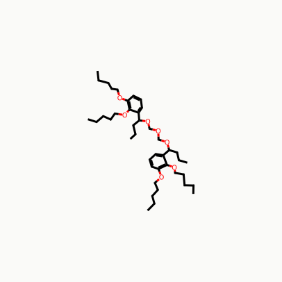 CCCCCOc1cccc(C(CCC)OCOCOC(CCC)c2cccc(OCCCCC)c2OCCCCC)c1OCCCCC